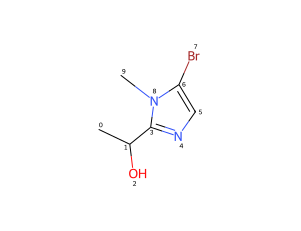 CC(O)c1ncc(Br)n1C